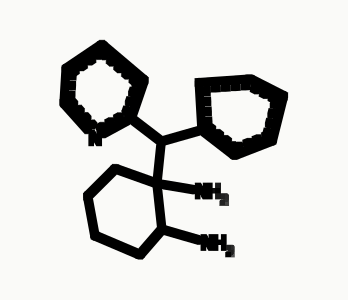 NC1CCCCC1(N)C(c1ccccc1)c1ccccn1